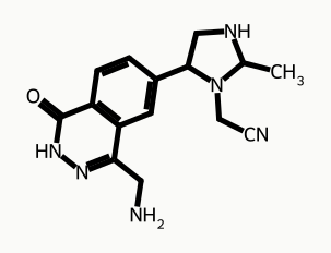 CC1NCC(c2ccc3c(=O)[nH]nc(CN)c3c2)N1CC#N